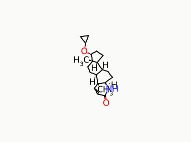 C[C@]12C=CC(=O)N[C@@H]1CC[C@@H]1[C@@H]2CC[C@]2(C)[C@@H](OC3CC3)CC[C@@H]12